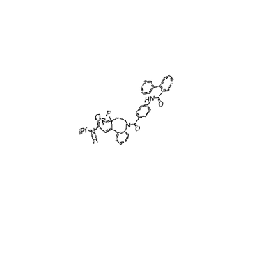 CC(C)NC(=O)C=C1c2ccccc2N(C(=O)c2ccc(NC(=O)c3ccccc3-c3ccccc3)cc2)CCC1(F)F